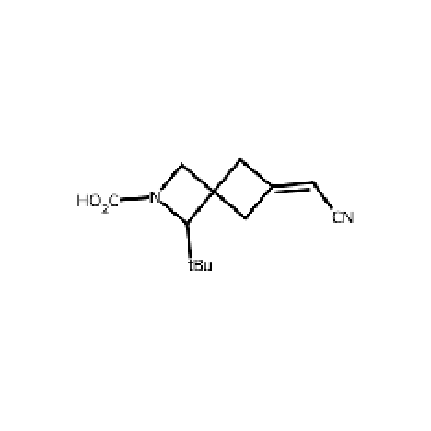 CC(C)(C)C1N(C(=O)O)CC12CC(=CC#N)C2